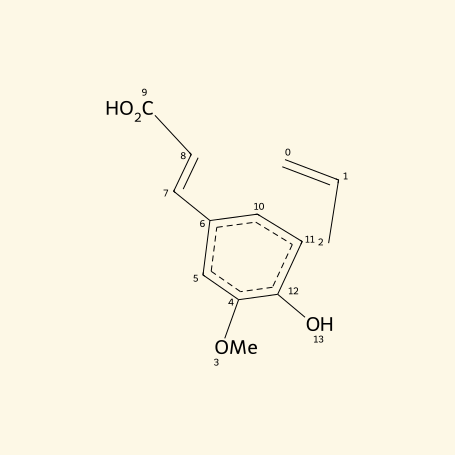 C=CC.COc1cc(C=CC(=O)O)ccc1O